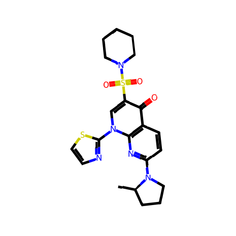 CC1CCCN1c1ccc2c(=O)c(S(=O)(=O)N3CCCCC3)cn(-c3nccs3)c2n1